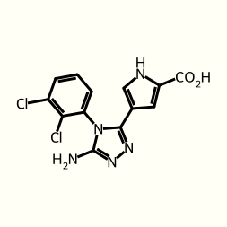 Nc1nnc(-c2c[nH]c(C(=O)O)c2)n1-c1cccc(Cl)c1Cl